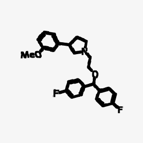 COc1cccc(C2CCN(CCOC(c3ccc(F)cc3)c3ccc(F)cc3)C2)c1